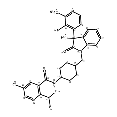 COc1nccc(C2(O)C(=O)N(CC3CCC(NC(=O)c4cc(Cl)cnc4C(F)F)CC3)c3ccccc32)c1F